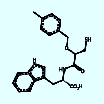 Cc1ccc(CO[C@@H](CS)C(=O)N[C@@H](Cc2c[nH]c3ccccc23)C(=O)O)cc1